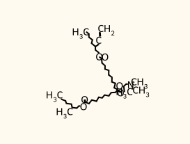 C=C=C=C=CC(CCCCC)CCOC(=O)CCCCCCCCCC1(CCCCCCCCCC(=O)OCCC(C)CCCCC)OCC(CN(C)C(C)C)O1